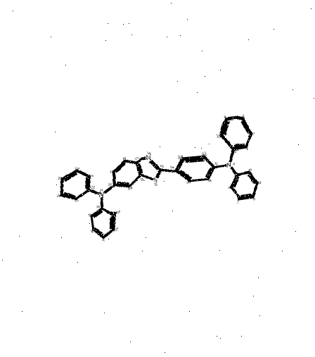 c1ccc(N(c2ccccc2)c2ccc(-c3nc4ccc(N(c5ccccc5)c5ccccc5)cc4s3)cc2)cc1